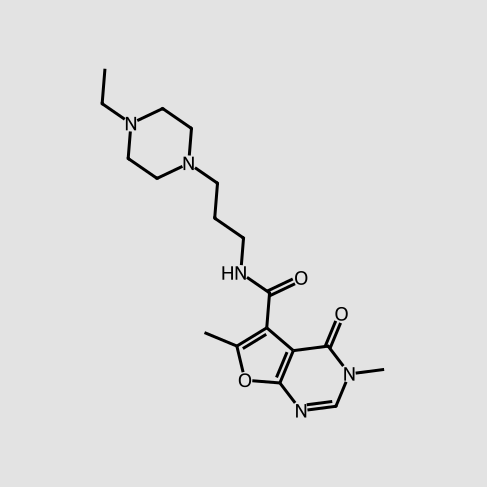 CCN1CCN(CCCNC(=O)c2c(C)oc3ncn(C)c(=O)c23)CC1